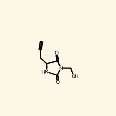 C#CCC1NC(=O)N(CO)C1=O